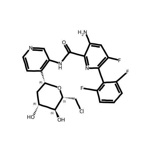 Nc1cc(F)c(-c2c(F)cccc2F)nc1C(=O)Nc1cnccc1[C@H]1C[C@@H](O)[C@H](O)[C@@H](CCl)O1